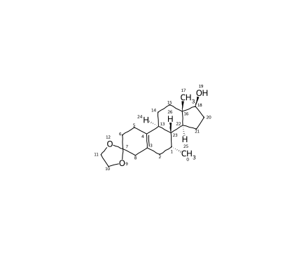 C[C@@H]1CC2=C(CCC3(C2)OCCO3)[C@H]2CC[C@]3(C)[C@@H](O)CC[C@H]3[C@H]12